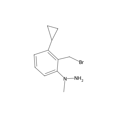 CN(N)c1cccc(C2CC2)c1CBr